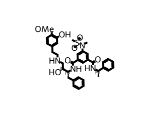 COc1ccc(CCNC[C@@H](O)[C@H](Cc2ccccc2)NC(=O)c2cc(C(=O)N[C@H](C)c3ccccc3)cc(N(C)S(C)(=O)=O)c2)cc1O